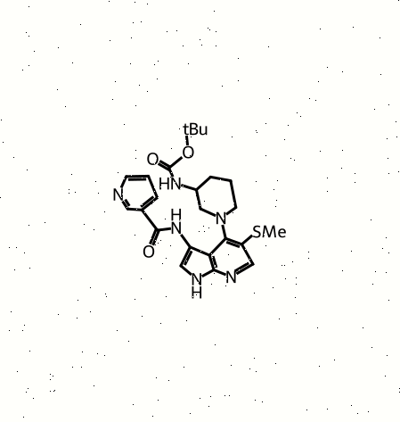 CSc1cnc2[nH]cc(NC(=O)c3cccnc3)c2c1N1CCCC(NC(=O)OC(C)(C)C)C1